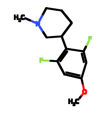 COc1cc(F)c(C2CCCN(C)C2)c(F)c1